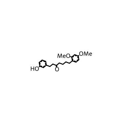 COc1ccc(CCCCC(=O)CCc2cccc(O)c2)c(OC)c1